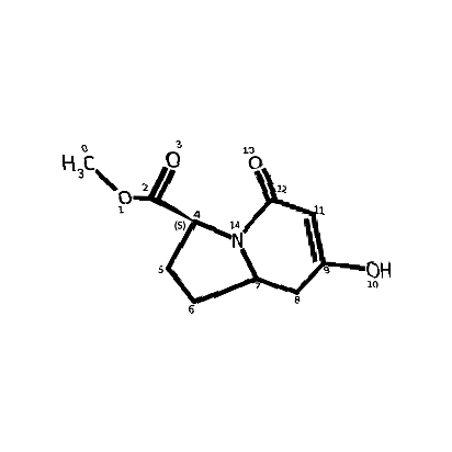 COC(=O)[C@@H]1CCC2CC(O)=CC(=O)N21